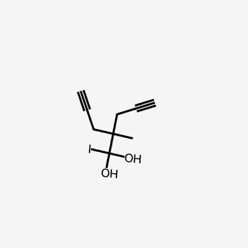 C#CCC(C)(CC#C)C(O)(O)I